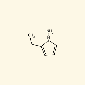 CCC1=CC=C[SH]1N